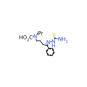 CC(C)N(CCC/C(=N/NC(N)=S)c1ccccc1)C(=O)O